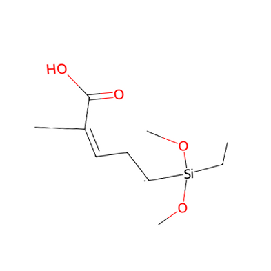 CC[Si]([CH]CC=C(C)C(=O)O)(OC)OC